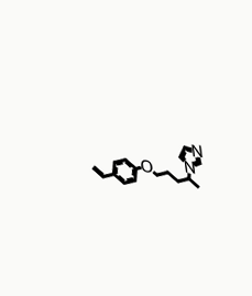 C=Cc1ccc(OCCCC(C)n2ccnc2)cc1